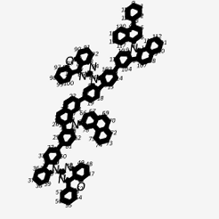 c1ccc(-c2ccc(-n3c4ccc(-c5ccc6c7ccc(-c8ccc9ccc%10c%11cc(-c%12ccc%13c%14ccccc%14n(-c%14nc%15c%16c(cccc%16n%14)Oc%14ccccc%14-%15)c%13c%12)ccc%11n(-c%11ccc%12ccc%13ccccc%13c%12c%11)c%10c9c8)cc7n(-c7nc8c9c(cccc9n7)Oc7ccccc7-8)c6c5)cc4c4ccc5ccccc5c43)c3ccccc23)cc1